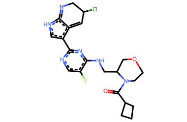 O=C(C1CCC1)N1CCOCC1CNc1nc(-c2c[nH]c3c2=CC(Cl)CN=3)ncc1F